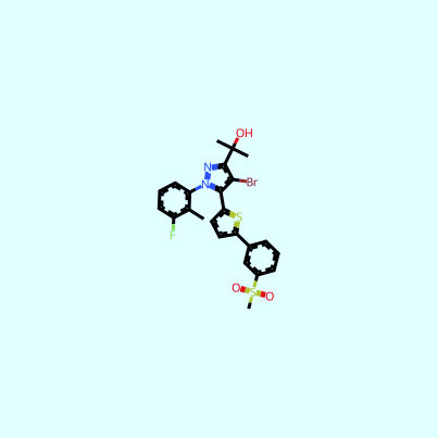 Cc1c(F)cccc1-n1nc(C(C)(C)O)c(Br)c1-c1ccc(-c2cccc(S(C)(=O)=O)c2)s1